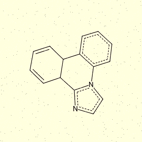 C1=CC2c3ccccc3-n3ccnc3C2C=C1